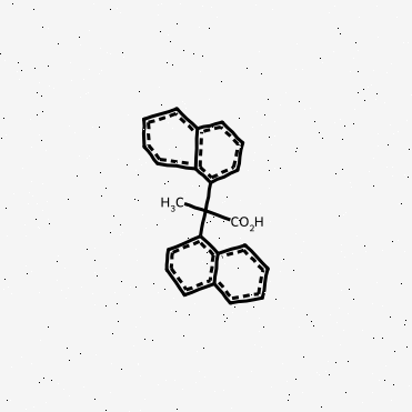 CC(C(=O)O)(c1cccc2ccccc12)c1cccc2ccccc12